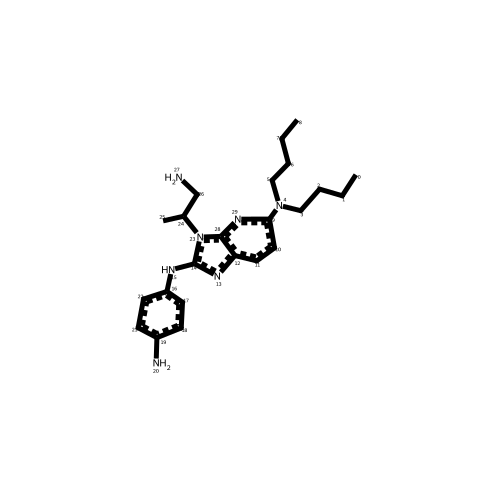 CCCCN(CCCC)c1ccc2nc(Nc3ccc(N)cc3)n(C(C)CN)c2n1